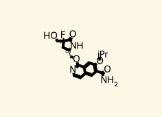 CC(C)Oc1cc2c(OC[C@@H]3C[C@](F)(CO)C(=O)N3)nccc2cc1C(N)=O